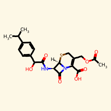 CC(=O)OCC1=C(C(=O)O)N2C(=O)[C@@H](NC(=O)C(O)c3ccc(C(C)C)cc3)[C@H]2SC1